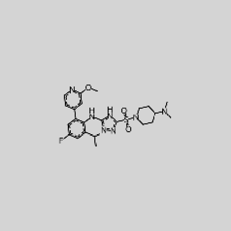 COc1cc(-c2cc(F)cc(C(C)C)c2Nc2nnc(S(=O)(=O)N3CCC(N(C)C)CC3)[nH]2)ccn1